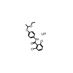 CCOC(C)Oc1ccc(PC(=O)c2c(Cl)cccc2Cl)cc1.[LiH]